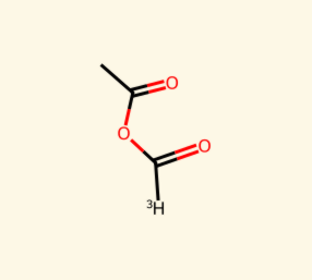 [3H]C(=O)OC(C)=O